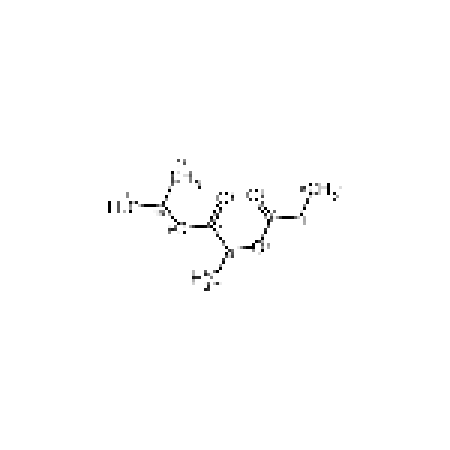 [CH2]CC(=O)OC(C)C(=O)OC(C)C